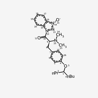 CCCCC(CCC)Oc1ccc(C[C@@H](C(=O)n2n[n+]([O-])c3ccccc32)N(C)C)cc1